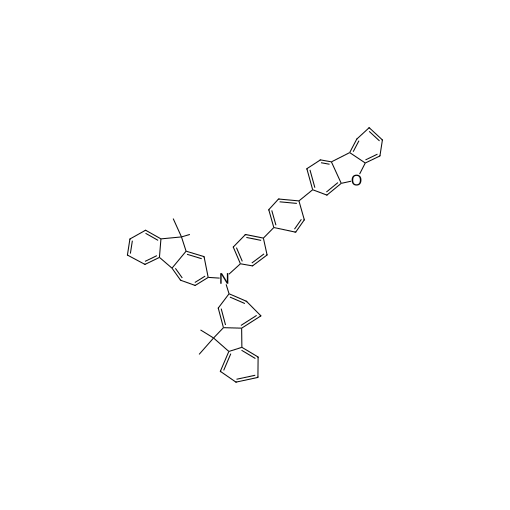 CC1(C)c2ccccc2-c2ccc(N(c3ccc(-c4ccc(-c5ccc6c(c5)oc5ccccc56)cc4)cc3)c3ccc4c(c3)C(C)(C)c3ccccc3-4)cc21